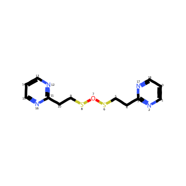 c1cnc(CCSOSCCc2ncccn2)nc1